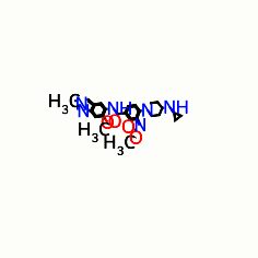 COc1nc2c(N3CCC(NC4CC4)CC3)ccc(C(=O)Nc3cc4cn(C)nc4cc3OC)c2o1